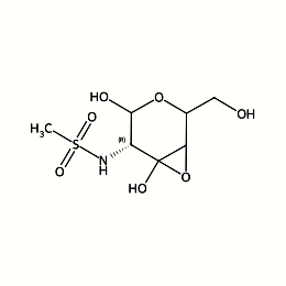 CS(=O)(=O)N[C@@H]1C(O)OC(CO)C2OC21O